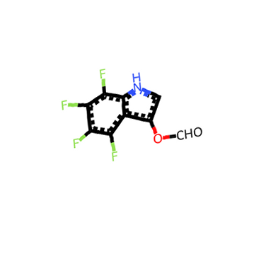 O=COc1c[nH]c2c(F)c(F)c(F)c(F)c12